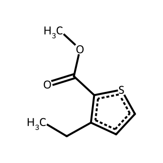 CCc1ccsc1C(=O)OC